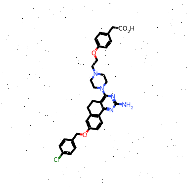 Nc1nc2c(c(N3CCN(CCOc4ccc(CC(=O)O)cc4)CC3)n1)CCc1cc(OCc3ccc(Cl)cc3)ccc1-2